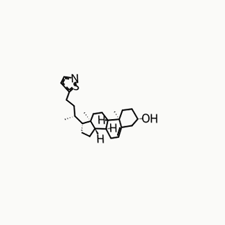 C[C@H](CCc1ccns1)[C@H]1CC[C@H]2[C@@H]3CC=C4C[C@@H](O)CC[C@]4(C)[C@H]3CC[C@]12C